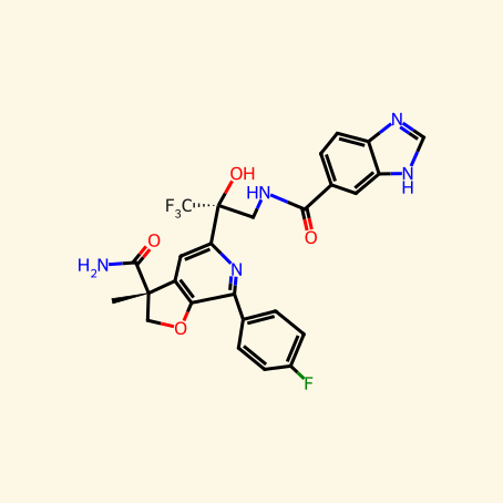 C[C@]1(C(N)=O)COc2c1cc([C@@](O)(CNC(=O)c1ccc3nc[nH]c3c1)C(F)(F)F)nc2-c1ccc(F)cc1